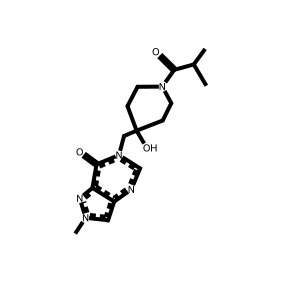 CC(C)C(=O)N1CCC(O)(Cn2cnc3cn(C)nc3c2=O)CC1